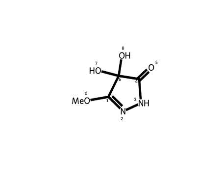 COC1=NNC(=O)C1(O)O